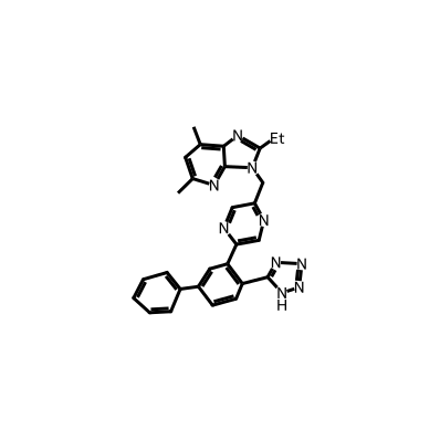 CCc1nc2c(C)cc(C)nc2n1Cc1cnc(-c2cc(-c3ccccc3)ccc2-c2nnn[nH]2)cn1